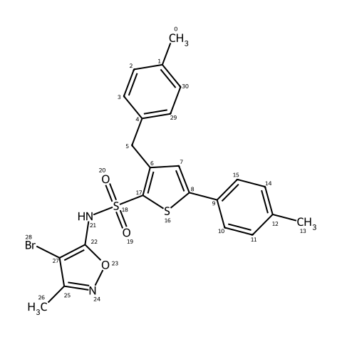 Cc1ccc(Cc2cc(-c3ccc(C)cc3)sc2S(=O)(=O)Nc2onc(C)c2Br)cc1